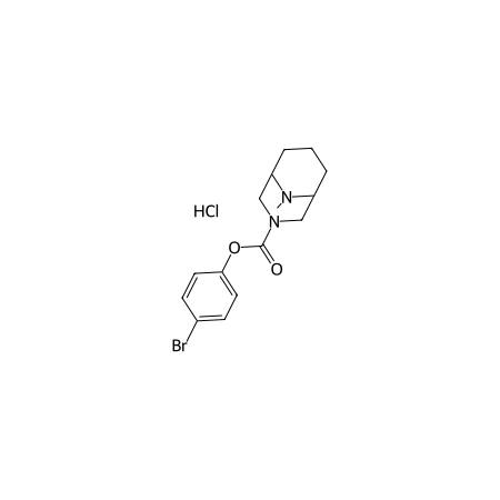 CN1C2CCCC1CN(C(=O)Oc1ccc(Br)cc1)C2.Cl